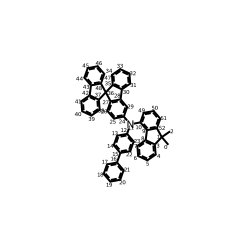 CC1(C)c2ccccc2-c2c(N(c3ccc(-c4ccccc4)cc3)c3ccc4c(c3)-c3ccccc3C43c4ccccc4-c4ccccc43)cccc21